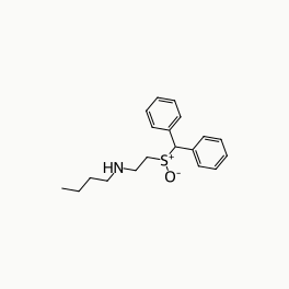 CCCCNCC[S+]([O-])C(c1ccccc1)c1ccccc1